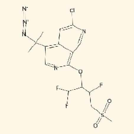 CC(C)(N=[N+]=[N-])c1cnc(OC(C(F)F)C(F)CS(C)(=O)=O)c2cnc(Cl)cc12